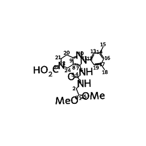 COC(CNC(=O)Nc1c2c(nn1-c1cc(C)cc(C)c1)CCN(C(=O)O)C2)OC